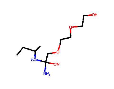 CCC(C)NC(N)(O)COCCOCCO